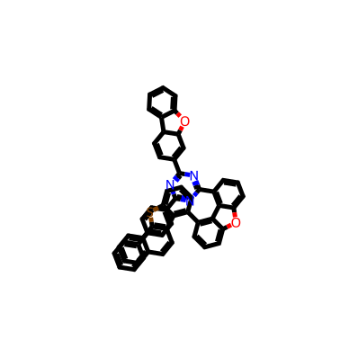 C1=CC2c3ccccc3OC2C=C1c1nc(-c2ccc(-c3ccccc3)cc2)nc(-c2cccc3oc4cccc(-c5cccc6sc7c8ccccc8ccc7c56)c4c23)n1